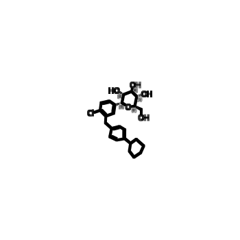 OC[C@H]1O[C@H](c2ccc(Cl)c(Cc3ccc(C4CCCCC4)cc3)c2)[C@H](O)[C@@H](O)[C@@H]1O